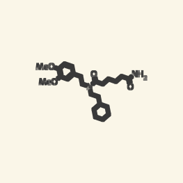 COc1ccc(CCN(CCC2CCCCC2)C(=O)CCCCC(N)=O)cc1OC